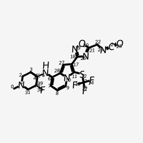 CN1CC[C@@H](Nc2cccn3c(SC(F)(F)F)c(-c4noc(CN=C=O)n4)cc23)[C@@H](F)C1